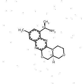 Cc1cc([C@@H](C)N)c2nc3c(nc2c1)OC[C@@H]1COCCN31